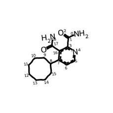 NC(=O)c1nccc(C2CCCCCCC2)c1C(N)=O